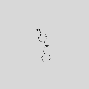 CCCc1ccc(NCC2CCCCC2)cc1